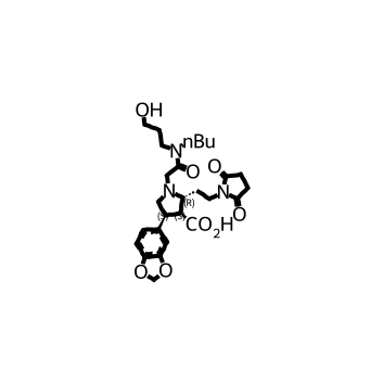 CCCCN(CCCO)C(=O)CN1C[C@H](c2ccc3c(c2)OCO3)[C@H](C(=O)O)[C@H]1CCN1C(=O)CCC1=O